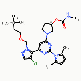 CNC(=O)O[C@@H]1CCN(c2cc(-c3c(Cl)cnn3COCC[Si](C)(C)C)nc(-n3c(C)ccc3C)n2)C1